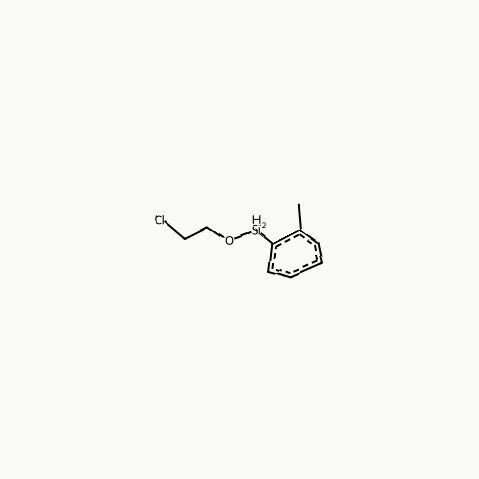 Cc1ccccc1[SiH2]OCCCl